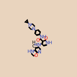 Cc1c(Nc2cc[nH]c(=O)c2C(=O)Nc2ccc(N3CCN(C4CC4)CC3)cc2)cnc2c1NCCO2